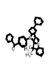 CC1(C)c2ccccc2-n2cc3c4cc(-c5ccccc5)ccc4n(-c4ccc(C(=O)c5ccccc5)cc4)c3c21